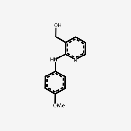 COc1ccc(Nc2ncccc2CO)cc1